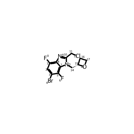 Fc1cc(Br)c(F)c2c1nc(CCl)n2C[C@@H]1CCO1